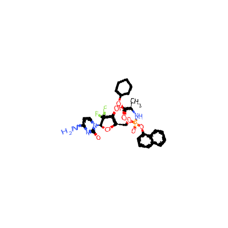 C[C@H](NP(=O)(OC[C@H]1O[C@@H](n2ccc(N)nc2=O)C(F)(F)C1O)Oc1cccc2ccccc12)C(=O)OC1CCCCC1